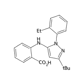 CCc1ccccc1-n1nc(C(C)(C)C)cc1Nc1ccccc1C(=O)O